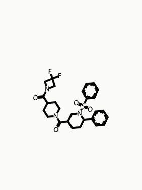 O=C(C1CCC(c2ccccc2)N(S(=O)(=O)c2ccccc2)C1)N1CCC(C(=O)N2CC(F)(F)C2)CC1